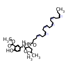 CC/C=C\C/C=C\C/C=C\C/C=C\C/C=C\C/C=C\CCC(=O)NC(CC(C)C)C(=O)Nc1ccc(O)c(C(=O)OC)c1